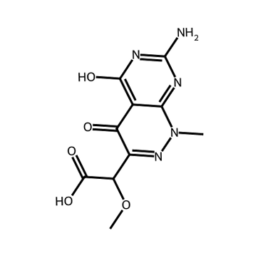 COC(C(=O)O)c1nn(C)c2nc(N)nc(O)c2c1=O